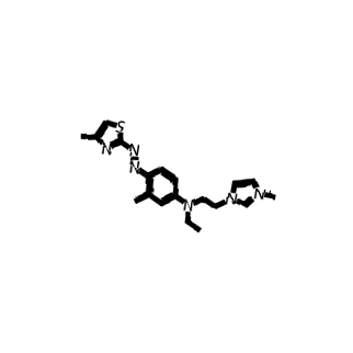 CCN(CCn1cc[n+](C)c1)c1ccc(N=Nc2nc(C)cs2)c(C)c1